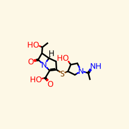 CC(=N)N1CC(O)C(SC2=C(C(=O)O)N3C(=O)C(C(C)O)[C@H]3C2)C1